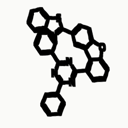 c1ccc(-c2nc(-c3ccccc3)nc(-c3cccc4oc5ccc(-c6nc7ccccc7s6)cc5c34)n2)cc1